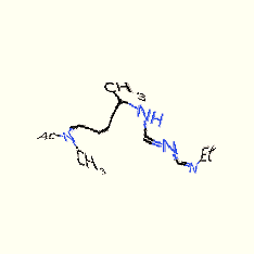 CC/N=C\N=C\NC(C)CCN(C)C(C)=O